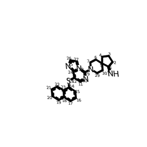 N=C1CCCC12CCN(c1ncc(Sc3cccc4ccccc34)c3nccn13)CC2